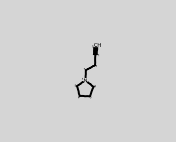 C#CCCN1CCCC1